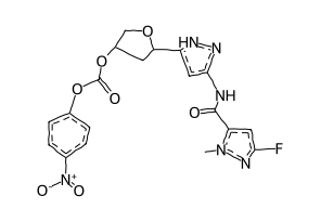 Cn1nc(F)cc1C(=O)Nc1cc(C2CC(OC(=O)Oc3ccc([N+](=O)[O-])cc3)CO2)[nH]n1